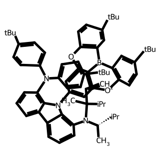 C=CC(C)(C(C)C)N(c1cccc2c3cccc(N(c4ccc(C(C)(C)C)cc4)c4ccc(C(C)(C)C)cc4)c3n(-c3cc4c5c(c3)Oc3ccc(C(C)(C)C)cc3B5c3cc(C(C)(C)C)ccc3O4)c12)[C@@H](C)C(C)C